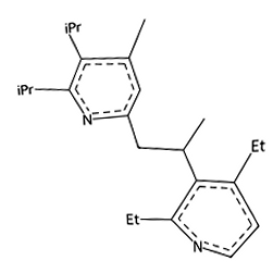 CCc1ccnc(CC)c1C(C)Cc1cc(C)c(C(C)C)c(C(C)C)n1